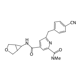 CNC(=O)c1cc(C(=O)NC2C3COCC32)cc(Cc2ccc(C#N)cc2)n1